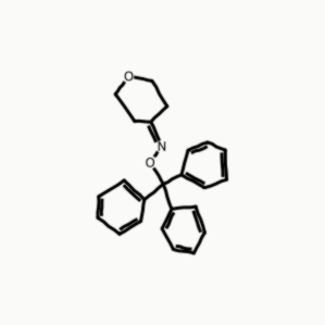 c1ccc(C(ON=C2CCOCC2)(c2ccccc2)c2ccccc2)cc1